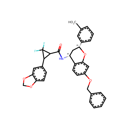 O=C(O)c1cccc([C@H]2C[C@@H](NC(=O)C3C(c4ccc5c(c4)OCO5)C3(F)F)c3ccc(OCc4ccccc4)cc3O2)c1